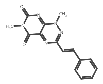 Cn1nc(/C=C/c2ccccc2)nc2c(=O)n(C)c(=O)nc1-2